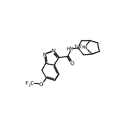 CN1C2CCC1CC(NC(=O)C1=NN=C3CC(OC(F)(F)F)=CC=C31)C2